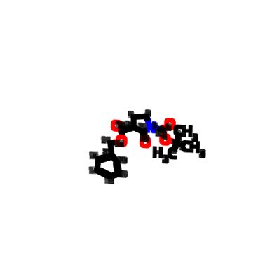 CC(C)(C)OC(=O)N1CCC(C(=O)OCc2ccccc2)C1=O